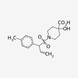 C=CC(c1ccc(C)cc1)S(=O)(=O)N1CCC(O)(C(=O)O)CC1